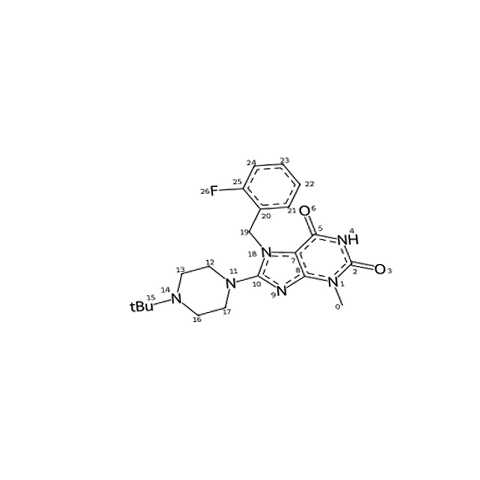 Cn1c(=O)[nH]c(=O)c2c1nc(N1CCN(C(C)(C)C)CC1)n2Cc1ccccc1F